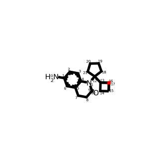 Nc1ccc2c(c1)CCC(=O)N2C1(C23CC(C2)C3)CCCC1